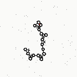 CC1(C)c2ccccc2-c2ccc(-n3c4ccccc4c4cc(-c5ccc6c(c5)c5ccccc5n6-c5cccc(-c6ccc(-c7ccc8c(c7)C(C)(C)c7cc(-n9c%10ccccc%10c%10cc(-c%11ccc%12c(c%11)c%11ccccc%11n%12-c%11ccccc%11-c%11ccccc%11)ccc%109)ccc7-8)cc6)c5)ccc43)cc21